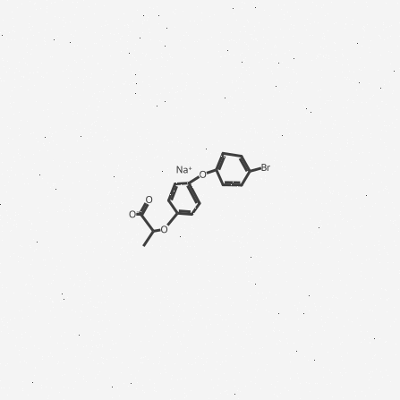 CC(Oc1ccc(Oc2ccc(Br)cc2)cc1)C(=O)[O-].[Na+]